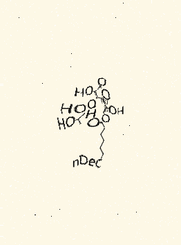 CC(O)CO.CCCCCCCCCCCCCCCC(=O)OC[C@H](O)[C@H]1OC(=O)C(O)=C1O